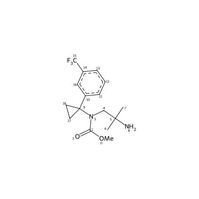 COC(=O)N(CC(C)(C)N)C1(c2cccc(C(F)(F)F)c2)CC1